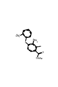 COC(=O)c1ccc(Sc2ccccc2C=O)c(N)c1C